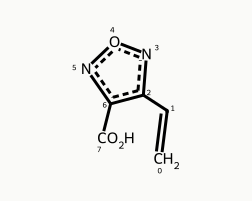 C=Cc1nonc1C(=O)O